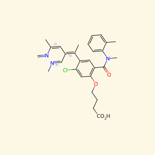 C=N\C(C)=C/C(/C=N/C)=C(\C)c1cc(C(=O)N(C)c2ccccc2C)c(OCCCC(=O)O)cc1Cl